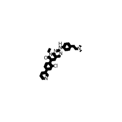 CCn1c(=O)c(-c2ccc(-c3cccnc3)cc2Cl)cc2cnc(Nc3ccc(CCN(C)C)cc3)nc21